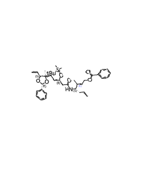 C=CC[C@H](NC(=O)C[C@@H](CC[C@@]1(C)O[C@H](c2ccccc2)O[C@H]1C=C)O[Si](C)(C)C(C)(C)C)/C(C)=C/COC(=O)c1ccccc1